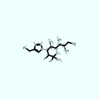 CC(C)Cc1cn([C@H]2C(F)C(C)(F)O[C@@H]([C@H](O)[C@H](O)CO)[C@@H]2C)nn1